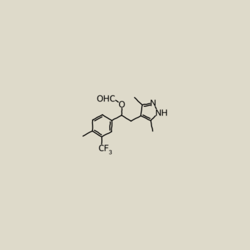 Cc1ccc(C(Cc2c(C)n[nH]c2C)OC=O)cc1C(F)(F)F